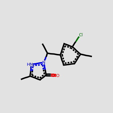 Cc1cc(=O)n(C(C)c2ccc(C)c(Cl)c2)[nH]1